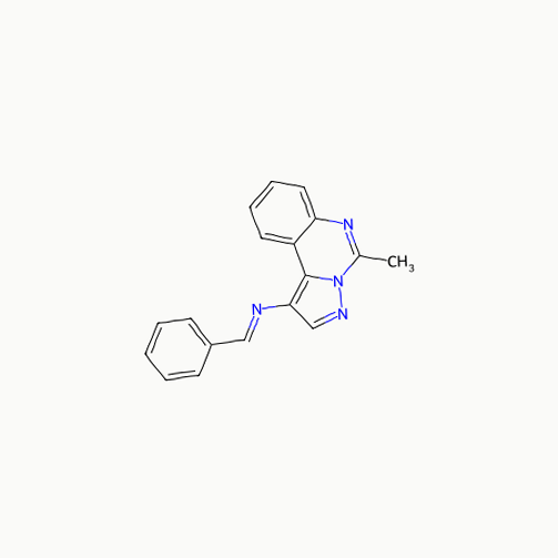 Cc1nc2ccccc2c2c(N=Cc3ccccc3)cnn12